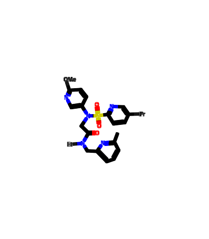 CCN(Cc1cccc(C)n1)C(=O)CN(c1ccc(OC)nc1)S(=O)(=O)c1ccc(C(C)C)cn1